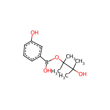 CC(C)(O)C(C)(C)OB(O)c1cccc(O)c1